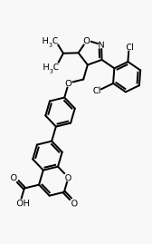 CC(C)C1ON=C(c2c(Cl)cccc2Cl)C1COc1ccc(-c2ccc3c(C(=O)O)cc(=O)oc3c2)cc1